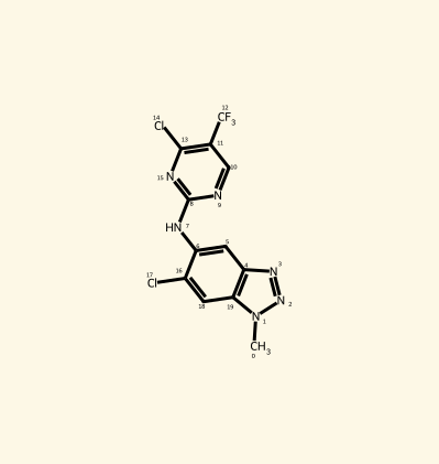 Cn1nnc2cc(Nc3ncc(C(F)(F)F)c(Cl)n3)c(Cl)cc21